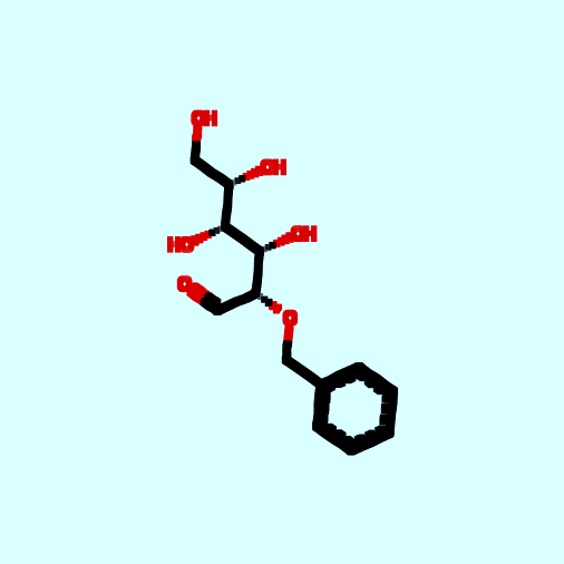 O=C[C@@H](OCc1ccccc1)[C@@H](O)[C@H](O)[C@@H](O)CO